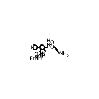 CCNC(=O)Nc1cc2c(-c3ccncc3)ccc(CNC(=O)OCC#CCN)c2cn1